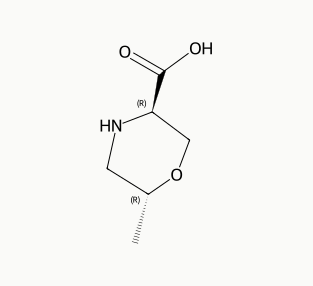 C[C@@H]1CN[C@@H](C(=O)O)CO1